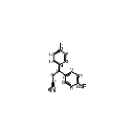 Cc1ccc(C(CC#N)c2ccc(F)cc2)cc1